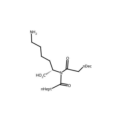 CCCCCCCCCCCC(=O)N(C(=O)CCCCCCC)[C@@H](CCCCN)C(=O)O